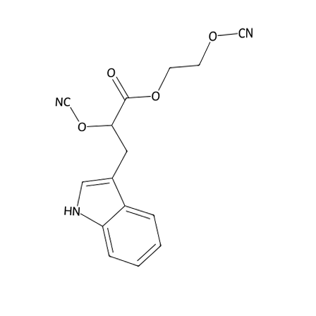 N#COCCOC(=O)C(Cc1c[nH]c2ccccc12)OC#N